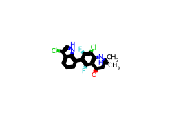 CC1(C)CC(=O)c2c(F)c(-c3cccc4c(Cl)c[nH]c34)c(F)c(Cl)c2N1